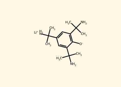 CC(C)(N)c1cc(C(C)(C)N)c([O-])c(C(C)(C)N)c1.[Li+]